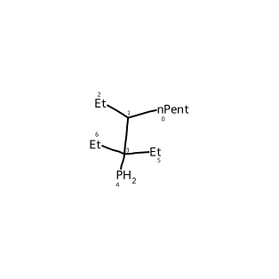 CCCCCC(CC)C(P)(CC)CC